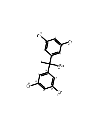 CCCCC(C)(c1c[c]([Cr])c[c]([Cr])c1)c1c[c]([Cr])c[c]([Cr])c1